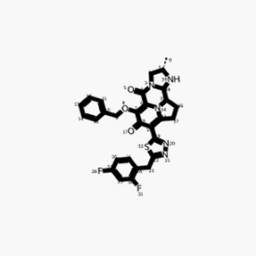 C[C@H]1CN2C(=O)c3c(OCc4ccccc4)c(=O)c(-c4nnc(Cc5ccc(F)cc5F)s4)c4n3C(CC4)C2N1